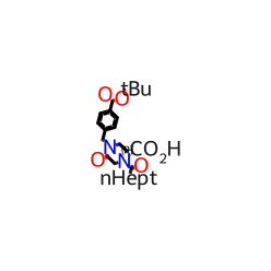 CCCCCCCC(=O)N1CC(=O)N(Cc2ccc(C(=O)OC(C)(C)C)cc2)C[C@@H]1C(=O)O